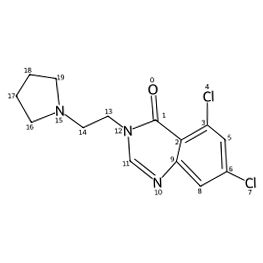 O=c1c2c(Cl)cc(Cl)cc2ncn1CCN1CCCC1